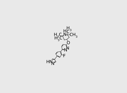 CC1(C)CC(Oc2ccc(-c3ccc(-c4cn[nH]c4)cc3F)nn2)CC(C)(C)N1